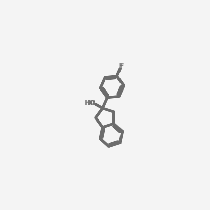 OC1(c2ccc(F)cc2)Cc2ccccc2C1